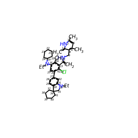 C=C1NC(C)=CC(C)=C1CNC(=C)c1c(C)c(N(CC)C2CCCCC2)cc(-c2ccc3c(c2)N(CC)CC32CCCCC2)c1Cl